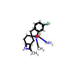 CC1=C2CC3(CCC2=N1)Cc1ccc(Br)cc1C31N=C(N)N(C)O1